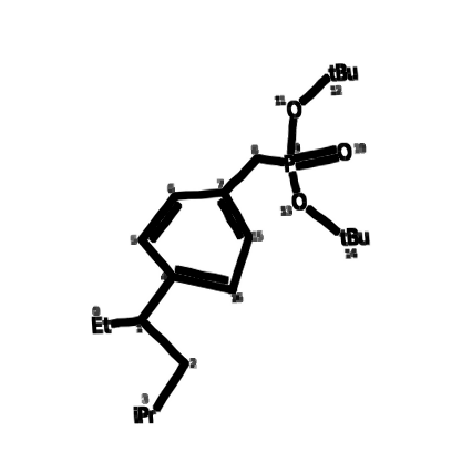 CCC(CC(C)C)c1ccc(CP(=O)(OC(C)(C)C)OC(C)(C)C)cc1